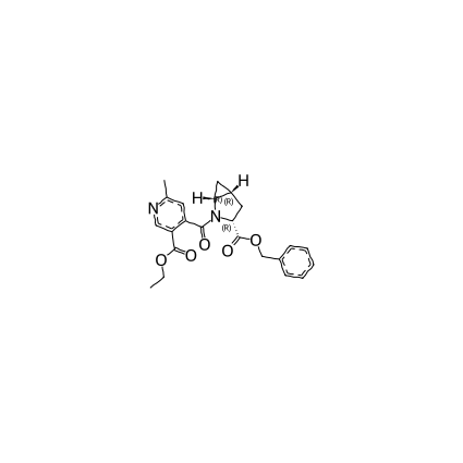 CCOC(=O)c1cnc(C)cc1C(=O)N1[C@@H](C(=O)OCc2ccccc2)C[C@H]2C[C@H]21